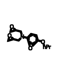 CCCOc1ccc(N(CC2CO2)CC2CO2)c2c1O2